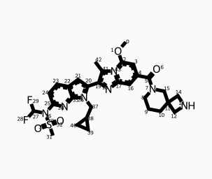 COc1cc(C(=O)N2CCCC3(CNC3)C2)cc2nc(-c3cc4ccc(N(C(F)F)S(C)(=O)=O)nc4n3CC3CC3)c(C)n12